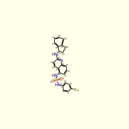 O=S(=O)(Nc1ccc(F)cc1)Nc1cccc2nc(N[C@@H]3CCc4ccccc43)ccc12